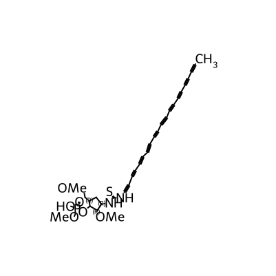 CC#CC#CC#CC#CC#CC#CC#CC#CC#CC#CNC(=S)N[C@@H]1C[C@H](COC)C(OP(=O)(O)OC)[C@@H]1OC